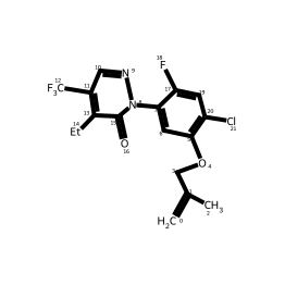 C=C(C)COc1cc(-n2ncc(C(F)(F)F)c(CC)c2=O)c(F)cc1Cl